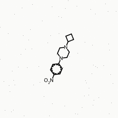 O=[N+]([O-])c1ccc(N2CCN(C3CCC3)CC2)cc1